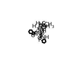 CC1(C)[C@@H]2C[C@H]3OB([C@H](Cc4coc5ccccc45)NC(=O)C(=O)Nc4ccccc4F)O[C@@]3(C)[C@H]1C2